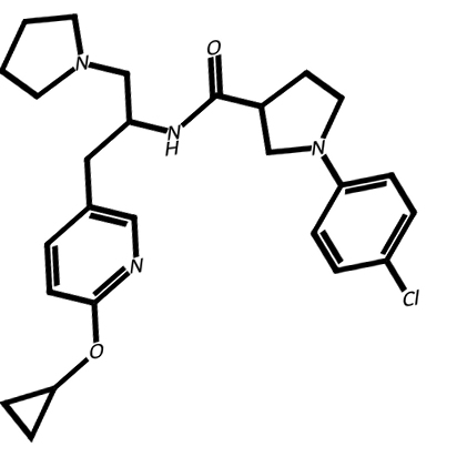 O=C(NC(Cc1ccc(OC2CC2)nc1)CN1CCCC1)C1CCN(c2ccc(Cl)cc2)C1